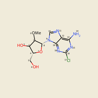 COC1C(O)[C@@H](CO)O[C@H]1n1cnc2c(N)nc(Cl)nc21